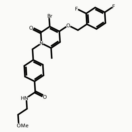 COCCNC(=O)c1ccc(Cn2c(C)cc(OCc3ccc(F)cc3F)c(Br)c2=O)cc1